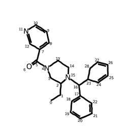 CCC1CN(C(=O)c2cccnc2)CCN1C(c1ccccc1)C1C=CC=CC1